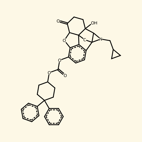 O=C(Oc1ccc2c3c1OC1C(=O)CCC4(O)C5N(CC6CC6)C25CC314)OC1CCC(c2ccccc2)(c2ccccc2)CC1